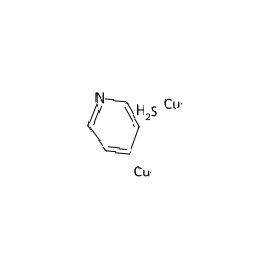 S.[Cu].[Cu].c1ccncc1